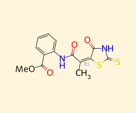 COC(=O)c1ccccc1NC(=O)/C(C)=C1/SC(=S)NC1=O